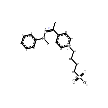 C/C(=N/N(C)c1ccccc1)c1cc[n+](CCCCS(=O)(=O)[O-])cc1